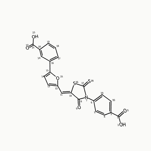 O=C(O)c1ccc(N2C(=O)C(=Cc3ccc(-c4cccc(C(=O)O)c4)o3)SC2=S)cc1